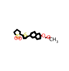 COCOc1ccc2cc(-c3ccc([C]4CCCCS4(=O)=O)s3)ccc2c1